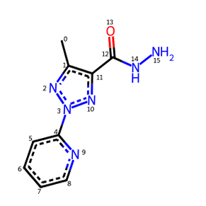 Cc1nn(-c2ccccn2)nc1C(=O)NN